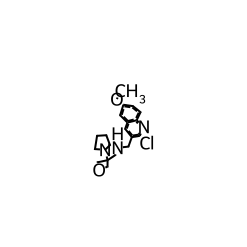 COc1ccc2nc(Cl)c(CNCC3(N4CCCC4)COC3)cc2c1